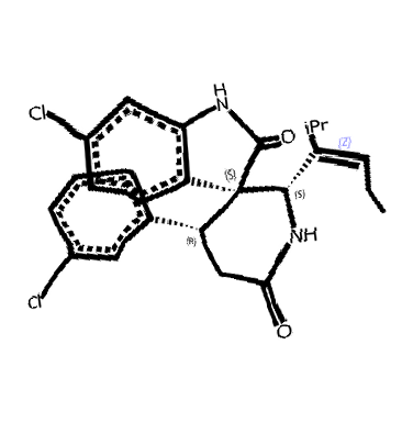 C/C=C(/C(C)C)[C@@H]1NC(=O)C[C@H](c2cccc(Cl)c2)[C@@]12C(=O)Nc1cc(Cl)ccc12